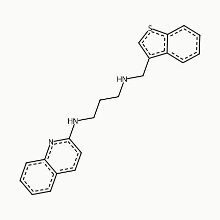 c1ccc2nc(NCCCNCc3csc4ccccc34)ccc2c1